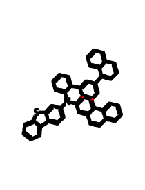 c1cc(-c2ccccc2N(c2ccc3c(ccc4ccccc43)c2)c2ccc3c(c2)sc2ccccc23)cc(-c2cccc3ccccc23)c1